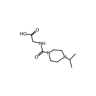 CC(C)N1CCN(C(=O)NCC(=O)O)CC1